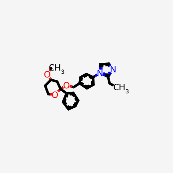 CCc1nccn1-c1ccc(COC2(c3ccccc3)CC(OC)CCO2)cc1